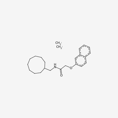 O=C(COc1ccc2ccccc2c1)NC[C]1CCCCCCCC1.[CH2].[CH2]